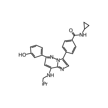 CC(C)CNc1cc(-c2cccc(O)c2)nn2c(-c3ccc(C(=O)NC4CC4)cc3)cnc12